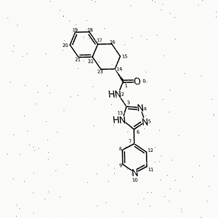 O=C(Nc1nnc(-c2ccncc2)[nH]1)[C@@H]1CCc2ccccc2C1